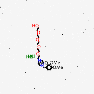 COc1ccc(CN2CCN(CCOCCOCCOCCOCCO)CC2)c(OC)c1OC.Cl.Cl